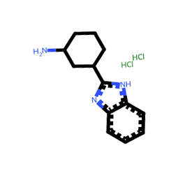 Cl.Cl.NC1CCCC(c2nc3ccccc3[nH]2)C1